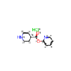 Cl.O=C(Oc1ccccn1)C1CCNCC1